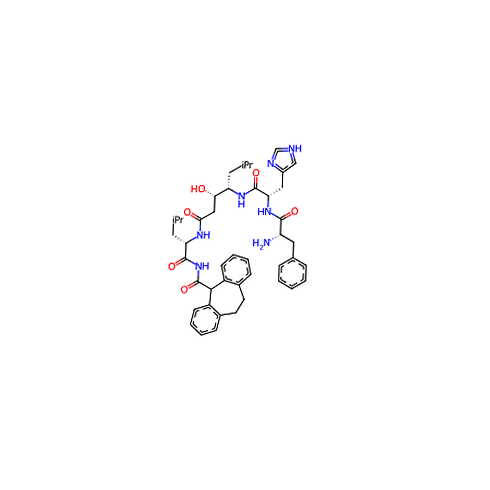 CC(C)C[C@H](NC(=O)C[C@H](O)[C@H](CC(C)C)NC(=O)[C@H](Cc1c[nH]cn1)NC(=O)[C@@H](N)Cc1ccccc1)C(=O)NC(=O)C1c2ccccc2CCc2ccccc21